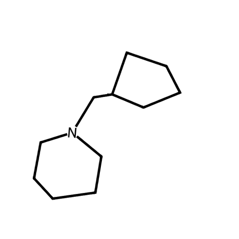 C1CCN(C[C]2CCCC2)CC1